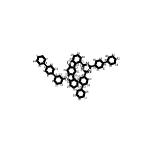 c1ccc(-c2ccc(-c3cccc(-n4c5ccccc5c5cc6c(cc54)oc4cccc(-c5nc(-c7ccc(-c8ccccc8)cc7)nc(-c7ccc(-c8ccccc8)cc7)n5)c46)c3)cc2)cc1